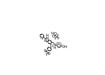 CCS(=O)(=O)c1ccc(Oc2cc3nc(-c4ccccn4)[nH]c3cc2CNC(=O)/C=C\C(=O)O)cc1.O=C(O)C(F)(F)F